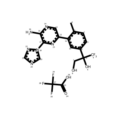 Cc1ccc(C(O)(CO)C(F)(F)F)cc1-c1cnc(N)c(-n2cncn2)n1.O=C(O)C(F)(F)F